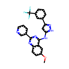 COc1ccc2nc(-c3cccnc3)nc(Nc3cc(-c4cccc(C(F)(F)F)c4)n[nH]3)c2c1